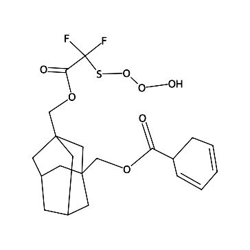 O=C(OCC12CC3CC(C1)CC(COC(=O)C(F)(F)SOOO)(C3)C2)C1C=CC=CC1